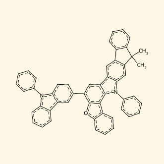 CC1(C)c2ccccc2-c2cc3c4cc(-c5ccc6c(c5)c5ccccc5n6-c5ccccc5)c5oc6ccccc6c5c4n(-c4ccccc4)c3cc21